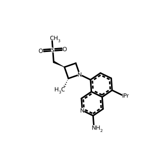 CC(C)c1ccc(N2C[C@H](CS(C)(=O)=O)[C@H]2C)c2cnc(N)cc12